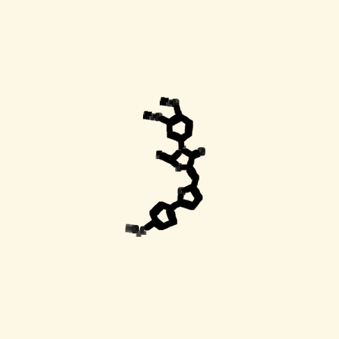 COc1ccc(N2C(=O)/C(=C/c3ccc(-c4ccc(C(=O)O)cc4)o3)SC2=S)cc1OC